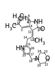 C=C(C)/C=C1C(=C/C)\NC(=O)C\1=C(/C)Cc1cc(CN2CCOCC2)c[nH]1